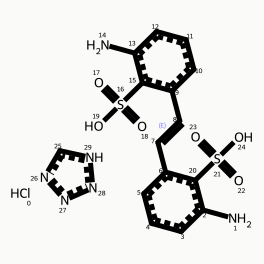 Cl.Nc1cccc(/C=C/c2cccc(N)c2S(=O)(=O)O)c1S(=O)(=O)O.c1nnn[nH]1